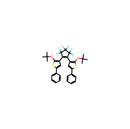 CC(C)(C)Oc1sc(-c2ccccc2)cc1C1=C(c2cc(-c3ccccc3)sc2OC(C)(C)C)C(F)(F)C(F)(F)C1(F)F